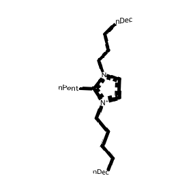 CCCCCCCCCCCCCC[n+]1ccn(CCCCCCCCCCCCC)c1CCCCC